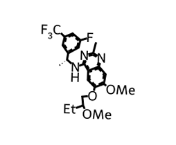 CCC(COc1cc2c(N[C@H](C)c3cc(F)cc(C(F)(F)F)c3)nc(C)nc2cc1OC)OC